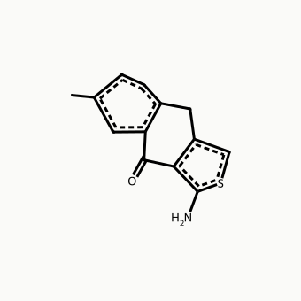 Cc1ccc2c(c1)C(=O)c1c(csc1N)C2